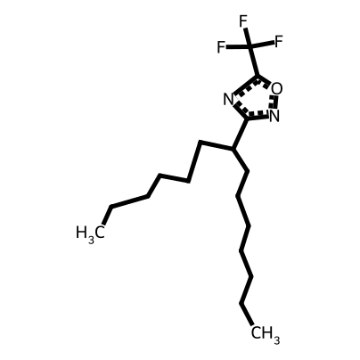 CCCCCCCC(CCCCCC)c1noc(C(F)(F)F)n1